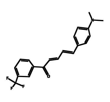 CN(C)c1ccc(/C=C/C=C/C(=O)c2cccc(C(F)(F)F)c2)cc1